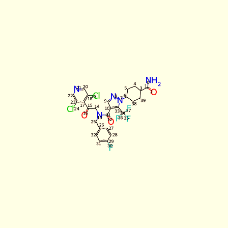 NC(=O)C1CCC(n2ncc(C(=O)N(CC(=O)c3c(Cl)cncc3Cl)Cc3ccc(F)cc3)c2C(F)(F)F)CC1